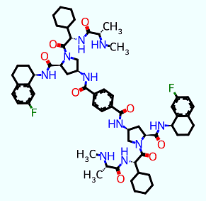 CN[C@@H](C)C(=O)N[C@H](C(=O)N1C[C@@H](NC(=O)c2ccc(C(=O)N[C@H]3C[C@@H](C(=O)N[C@@H]4CCCc5ccc(F)cc54)N(C(=O)[C@@H](NC(=O)[C@H](C)NC)C4CCCCC4)C3)cc2)C[C@H]1C(=O)N[C@@H]1CCCc2ccc(F)cc21)C1CCCCC1